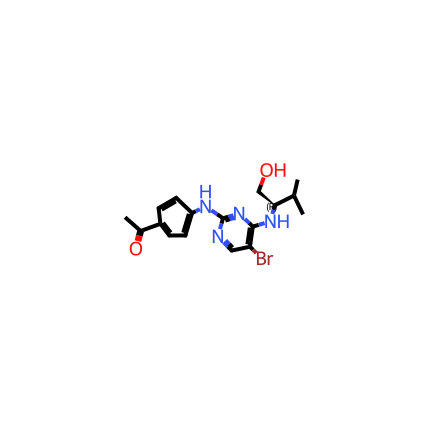 CC(=O)c1ccc(Nc2ncc(Br)c(N[C@@H](CO)C(C)C)n2)cc1